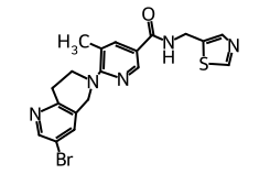 Cc1cc(C(=O)NCc2cncs2)cnc1N1CCc2ncc(Br)cc2C1